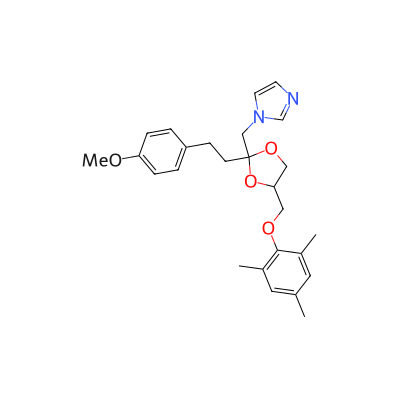 COc1ccc(CCC2(Cn3ccnc3)OCC(COc3c(C)cc(C)cc3C)O2)cc1